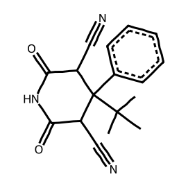 CC(C)(C)C1(c2ccccc2)C(C#N)C(=O)NC(=O)C1C#N